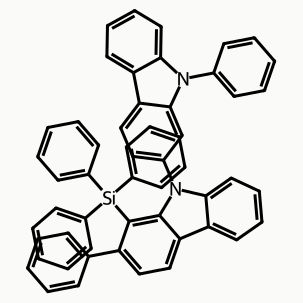 c1ccc(-c2ccc3c4ccccc4n(-c4ccc5c6ccccc6n(-c6ccccc6)c5c4)c3c2[Si](c2ccccc2)(c2ccccc2)c2ccccc2)cc1